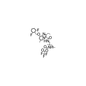 CCCC(C)(CNC(=O)c1c(CC)nc2c(OCc3c(F)cccc3F)cc(C)cn12)NC(=O)OC(=O)C(F)(F)F